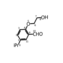 CC(C)c1ccc(OCCO)c(C=O)c1